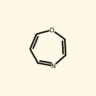 [C]1=CC=NC=CO1